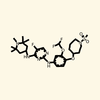 CN1C(C)(C)CC(Nc2nc(Nc3ccc(OC4CCCN(S(C)(=O)=O)CC4)c(OC(F)F)c3)ncc2F)CC1(C)C